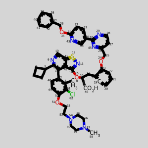 Cc1c(-c2c(C3CCC3)ncc3snc(OC(Cc4ccccc4OCc4ccnc(-c5ccc(OCc6ccccc6)nc5)n4)C(=O)O)c23)ccc(OCCN2CCN(C)CC2)c1Cl